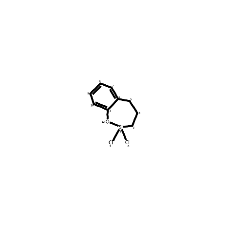 Cl[Si]1(Cl)CCCc2ccccc2O1